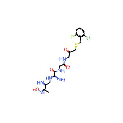 C/C(=N/O)C(=N)CNC(=N)C(=O)NCC(=O)NCC(=O)CSCc1c(F)cccc1Cl